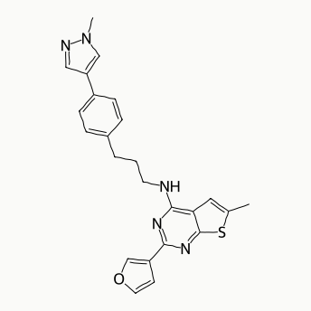 Cc1cc2c(NCCCc3ccc(-c4cnn(C)c4)cc3)nc(-c3ccoc3)nc2s1